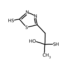 CC(O)(S)Cc1nnc(S)s1